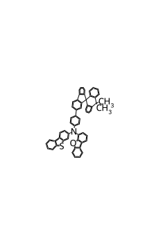 CC1(C)c2ccccc2C2(c3ccccc3-c3ccc(-c4ccc(N(c5ccc6c(c5)sc5ccccc56)c5cccc6c5oc5ccccc56)cc4)cc32)c2ccccc21